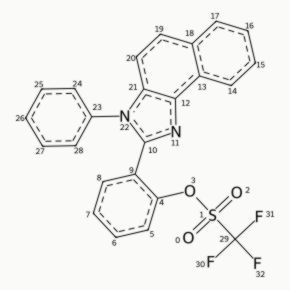 O=S(=O)(Oc1ccccc1-c1nc2c3ccccc3ccc2n1-c1ccccc1)C(F)(F)F